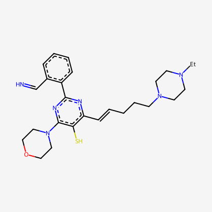 CCN1CCN(CCC/C=C/c2nc(-c3ccccc3C=N)nc(N3CCOCC3)c2S)CC1